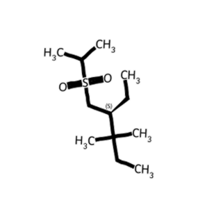 CC[C@H](CS(=O)(=O)C(C)C)C(C)(C)CC